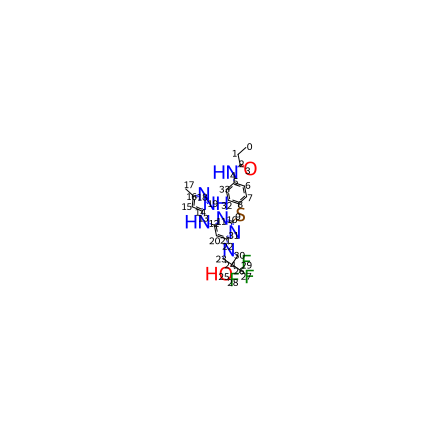 CCC(=O)Nc1ccc(Sc2nc(Nc3cc(C)n[nH]3)cc(N3CC(O)(C(F)(F)F)C3)n2)cc1